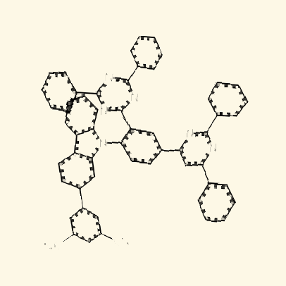 N#Cc1cc(C#N)cc(-c2ccc3c4ccccc4n(-c4ccc(-c5cc(-c6ccccc6)nc(-c6ccccc6)n5)cc4-c4nc(-c5ccccc5)nc(-c5ccccc5)n4)c3c2)c1